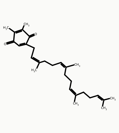 CC(C)=CCCC(C)=CCCC(C)=CCCC(C)=CCC1=CC(=O)C(C)=C(C)C1=O